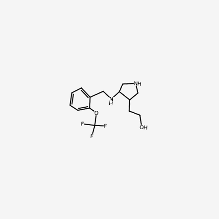 OCCC1CNCC1NCc1ccccc1OC(F)(F)F